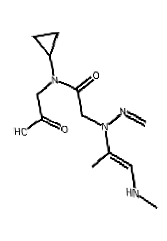 C=NN(CC(=O)N(CC(=O)O)C1CC1)/C(C)=C/NC